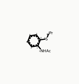 CC(=O)Nc1ccccc1SC(C)C